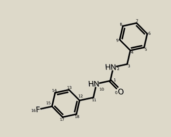 O=C(NCc1ccccc1)NCc1ccc(F)cc1